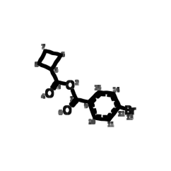 O=C(OC(=O)C1CCC1)c1ccc(Br)cc1